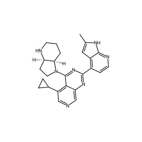 Cc1cc2c(-c3nc(N4CC[C@H]5NCCC[C@H]54)c4c(C5CC5)cncc4n3)ccnc2[nH]1